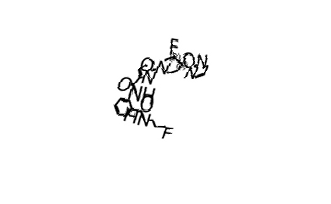 O=C(Nc1ccccc1C(=O)NCCCF)c1coc(N2CC[C@H](Oc3ncccn3)[C@H](F)C2)n1